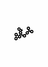 CC1(C)c2ccccc2-c2cc3c4c5c6ccccc6c6ccccc6c5ccc4n(-c4cccc(-c5ccc(N(c6ccccc6)c6ccccc6)cc5)c4)c3cc21